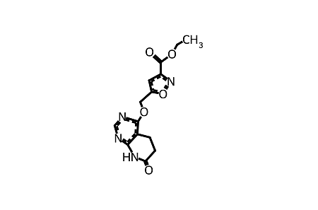 CCOC(=O)c1cc(COc2ncnc3c2CCC(=O)N3)on1